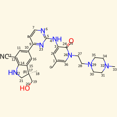 Cc1cc(Nc2nccc(-c3cc(C#N)c4c(c3)[C@@](C)(CO)CN4)n2)c(=O)n(CCN2CCN(C)CC2)c1